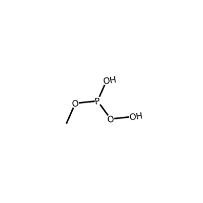 COP(O)OO